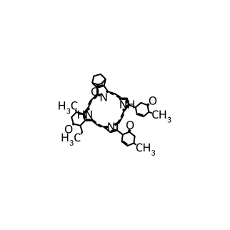 CCC1C(=O)CC(C)c2c1c1cc3nc(cc4[nH]c(cc5nc(cc2[nH]1)C1=C5C2CCC1C(=O)C2)cc4C1C=CC(C)C(=O)C1)C(C1C=CC(C)CC1=O)=C3